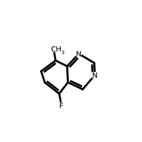 Cc1ccc(F)c2cncnc12